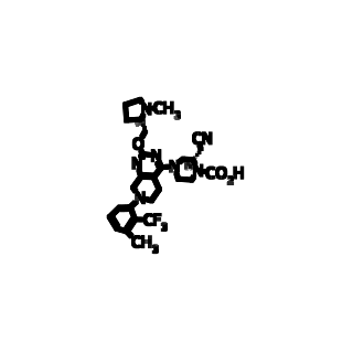 Cc1cccc(N2CCc3c(nc(OC[C@@H]4CCCN4C)nc3N3CCN(C(=O)O)[C@@H](CC#N)C3)C2)c1C(F)(F)F